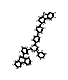 c1ccc(-c2cc(-c3ccc(-c4ccc(-c5ccc6sc7ccccc7c6c5)cc4)cc3)nc(-c3cccc(-c4cc5ccccc5c5ccccc45)c3)n2)cc1